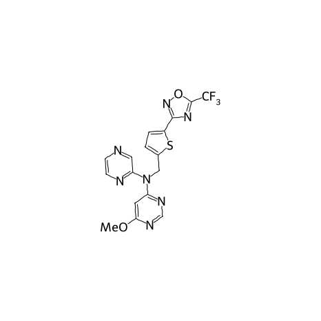 COc1cc(N(Cc2ccc(-c3noc(C(F)(F)F)n3)s2)c2cnccn2)ncn1